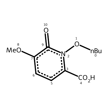 CCCCOn1c(C(=O)O)ccc(OC)c1=O